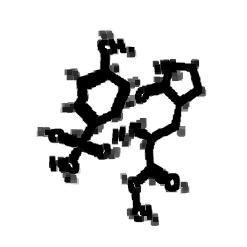 COC(=O)[C@@H](N)C[C@@H]1CCNC1=O.Cc1ccc(S(=O)(=O)O)cc1